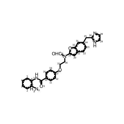 Nc1ccccc1NC(=O)c1ccc(OCCN(C=O)c2cc3ccc(Cc4ncc[nH]4)cc3o2)cc1